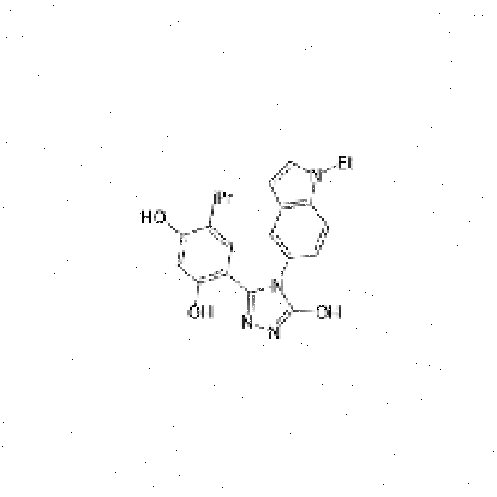 CCn1ccc2cc(-n3c(O)nnc3-c3cc(C(C)C)c(O)cc3O)ccc21